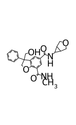 CNC(=O)c1cc(C(=O)NC2C3COCC32)cc2c1OCC2(CO)c1ccccc1